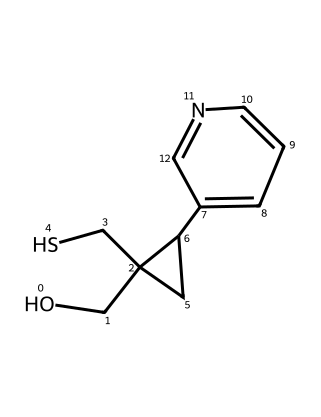 OCC1(CS)CC1c1cccnc1